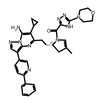 CC1=CN(C(=O)c2nnc(N3CCOCC3)[nH]2)[C@@H](CCc2nc3c(-c4ccc(-c5ccccc5)nc4)cnn3c(N)c2C2CC2)C1